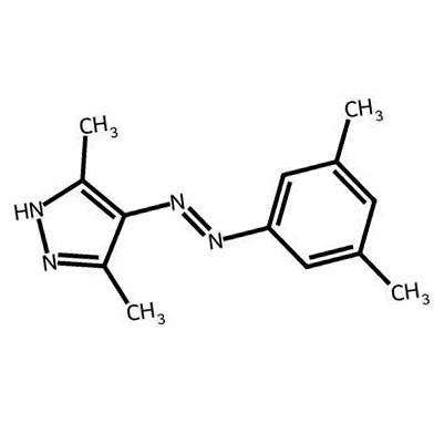 Cc1cc(C)cc(/N=N/c2c(C)n[nH]c2C)c1